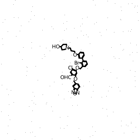 O=Cc1cc(Cl)c(OCc2cccc(-c3cccc(OCCCN4CCC(O)CC4)c3)c2Br)cc1OCc1ccc2nonc2c1